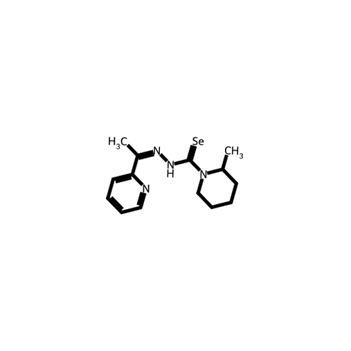 CC(=NNC(=[Se])N1CCCCC1C)c1ccccn1